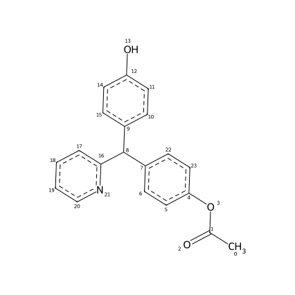 CC(=O)Oc1ccc(C(c2ccc(O)cc2)c2ccccn2)cc1